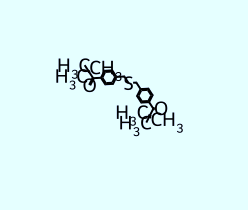 CC(C)(C)C(=O)c1ccc(CSCc2ccc(C(=O)C(C)(C)C)cc2)cc1